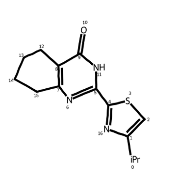 CC(C)c1csc(-c2nc3c(c(=O)[nH]2)CCCC3)n1